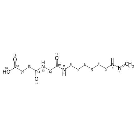 C=NNCCCCCCNC(=O)CNC(=O)CCC(=O)O